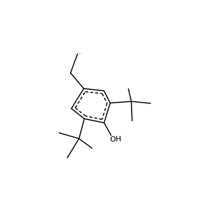 [CH2]Cc1cc(C(C)(C)C)c(O)c(C(C)(C)C)c1